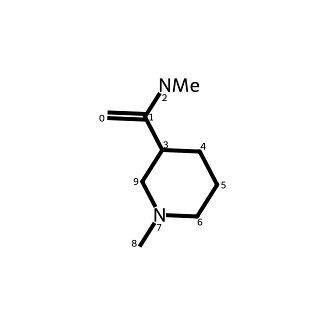 C=C(NC)C1CCCN(C)C1